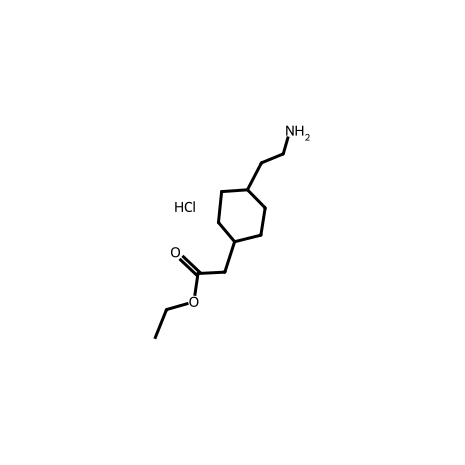 CCOC(=O)CC1CCC(CCN)CC1.Cl